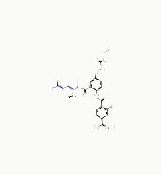 C=N/C(=C\C=C(/C)Cl)NC(=O)c1cc(OCC(=O)OCC)ccc1NC(=O)c1ccc(C(=N)N)cc1F